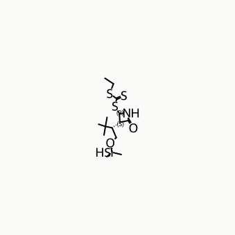 CCSC(=S)S[C@H]1NC(=O)[C@@H]1C(CO[SiH](C)C)C(C)(C)C